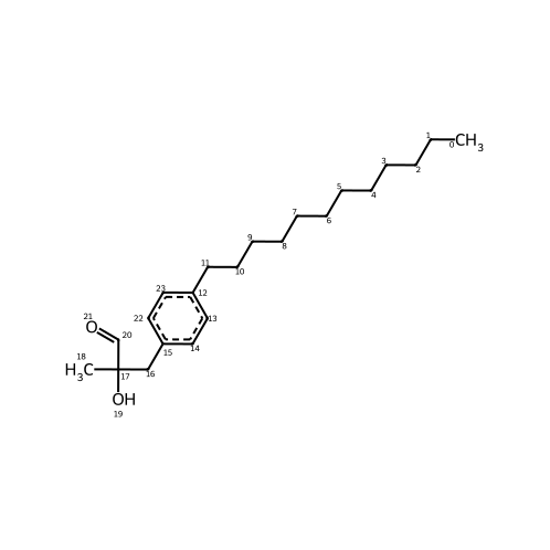 CCCCCCCCCCCCc1ccc(CC(C)(O)C=O)cc1